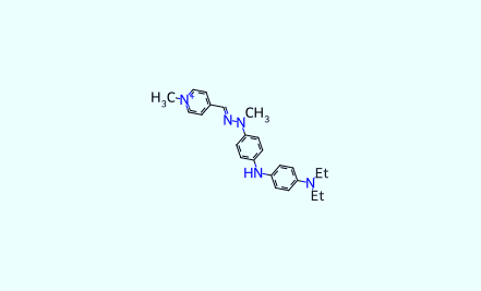 CCN(CC)c1ccc(Nc2ccc(N(C)/N=C/c3cc[n+](C)cc3)cc2)cc1